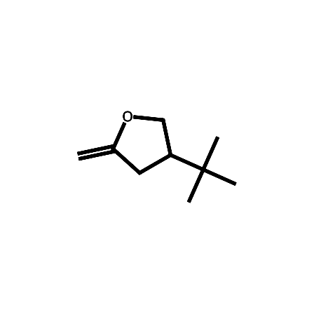 C=C1CC(C(C)(C)C)CO1